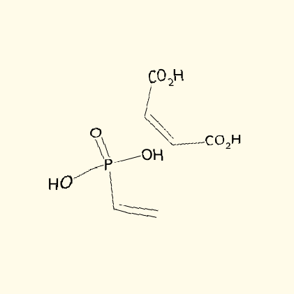 C=CP(=O)(O)O.O=C(O)/C=C\C(=O)O